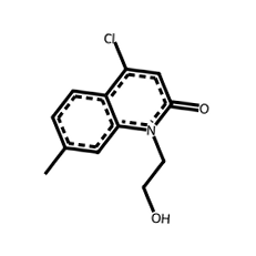 Cc1ccc2c(Cl)cc(=O)n(CCO)c2c1